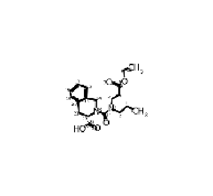 CCCN(CCC(=O)OCC)C(=O)N1Cc2ccccc2C[C@H]1C(=O)O